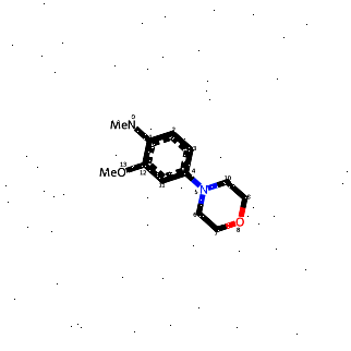 CNc1ccc(N2CCOCC2)cc1OC